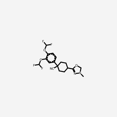 CN1COC(C2CCC(C#N)(c3ccc(OC(F)F)c(OC(F)F)c3)CC2)=N1